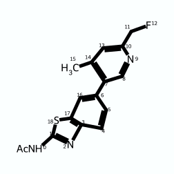 CC(=O)Nc1nc2ccc(-c3cnc(CF)cc3C)cc2s1